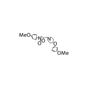 COc1ccc(N2CC(CN3CCC(Oc4cccc(OC)c4)CC3)OC2=O)cc1